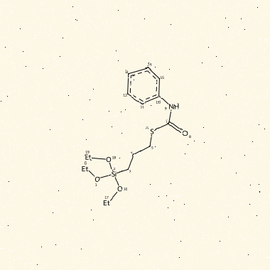 CCO[Si](CCCSC(=O)Nc1ccccc1)(OCC)OCC